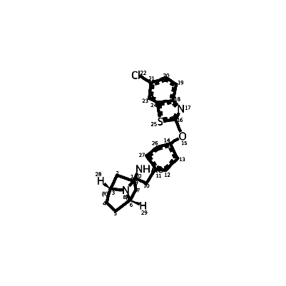 CC(=O)NC1C[C@H]2CC[C@@H](C1)N2CCc1ccc(Oc2nc3ccc(Cl)cc3s2)cc1